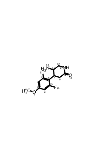 COc1cc(F)c(C2CC(=O)NCC2N)c(F)c1